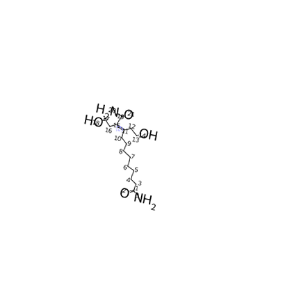 NC(=O)CCCCCCCC/C(CCO)=C(\CCO)C(N)=O